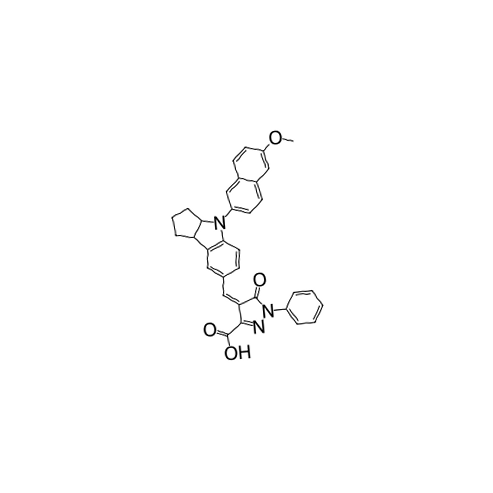 COc1ccc2cc(N3c4ccc(/C=C5\C(=O)N(c6ccccc6)N=C5C(=O)O)cc4C4CCCC43)ccc2c1